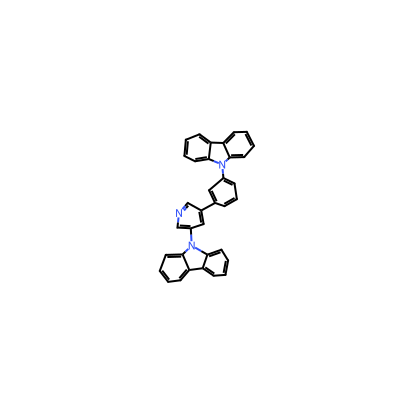 c1cc(-c2cncc(-n3c4ccccc4c4ccccc43)c2)cc(-n2c3ccccc3c3ccccc32)c1